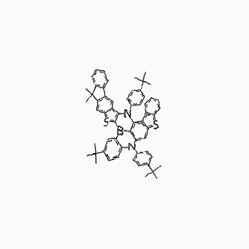 CC(C)(C)c1ccc(N2c3ccc(C(C)(C)C)cc3B3c4sc5cc6c(cc5c4N(c4ccc(C(C)(C)C)cc4)c4c3c2cc2sc3ccccc3c42)-c2ccccc2C6(C)C)cc1